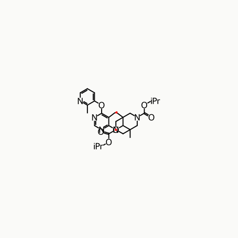 Cc1ncccc1Oc1ncnc(OC2C3(C)CN(C(=O)OC(C)C)CC2(C)CN(C(=O)OC(C)C)C3)c1C